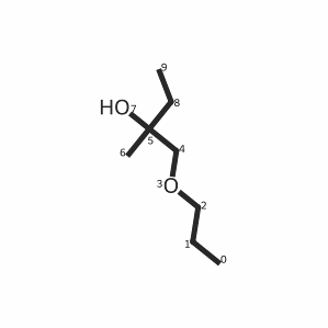 CCCOCC(C)(O)CC